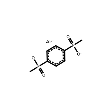 CP(=O)([O-])c1ccc(P(C)(=O)[O-])cc1.[Zn+2]